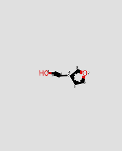 CC#CO.c1ccoc1